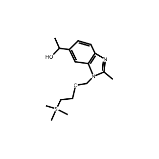 Cc1nc2ccc(C(C)O)cc2n1COCC[Si](C)(C)C